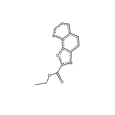 CCOC(=O)c1nc2ccc3cccnc3c2o1